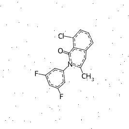 Cc1cc2cccc(Cl)c2c(=O)n1-c1cc(F)cc(F)c1